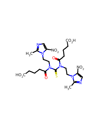 Cc1ncc([N+](=O)[O-])n1CCN(C(=O)CCCC(=O)O)C(=S)N(CCn1c([N+](=O)[O-])cnc1C)C(=O)CCCC(=O)O